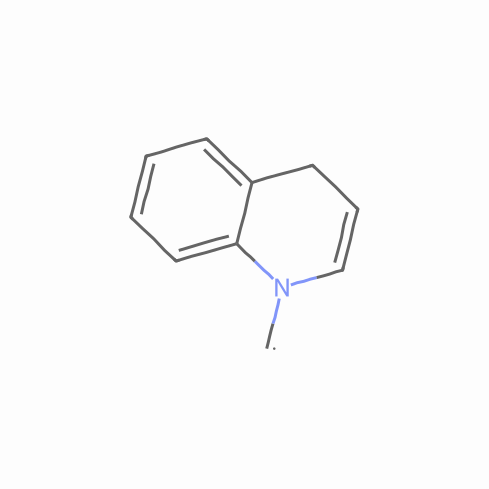 [CH2]N1C=CCc2ccccc21